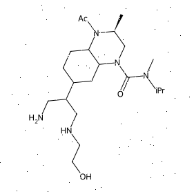 CC(=O)N1C2CCC(C(CN)CNCCO)CC2N(C(=O)N(C)C(C)C)C[C@@H]1C